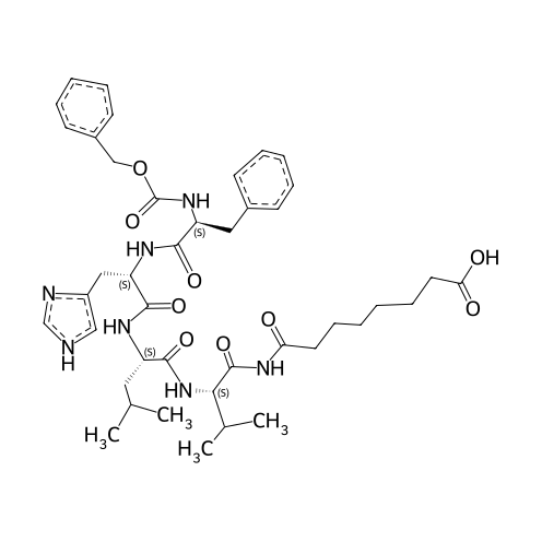 CC(C)C[C@H](NC(=O)[C@H](Cc1c[nH]cn1)NC(=O)[C@H](Cc1ccccc1)NC(=O)OCc1ccccc1)C(=O)N[C@H](C(=O)NC(=O)CCCCCCC(=O)O)C(C)C